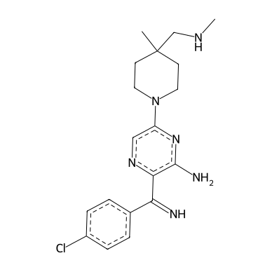 CNCC1(C)CCN(c2cnc(C(=N)c3ccc(Cl)cc3)c(N)n2)CC1